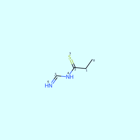 CCC(=S)N[C]=N